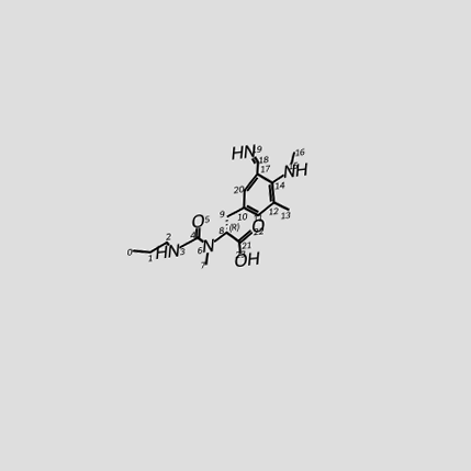 CCCNC(=O)N(C)[C@H](Cc1cc(C)c(NC)c(C=N)c1)C(=O)O